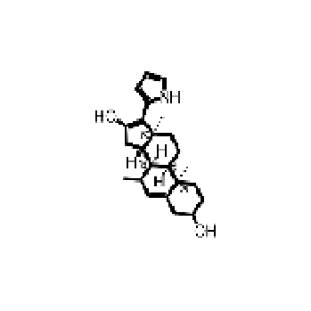 CC1C=C2CC(O)CC[C@]2(C)[C@@H]2CC[C@]3(C)C(c4ccc[nH]4)=C(O)C[C@H]3[C@H]12